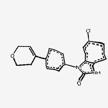 O=c1[nH]c2ccc(Cl)cc2n1-c1ccc(C2=CCOCC2)cc1